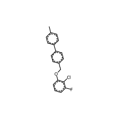 Cc1ccc(-c2ccc(COc3cccc(F)c3Cl)cc2)cc1